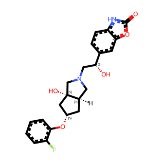 O=c1[nH]c2ccc([C@H](O)CN3C[C@H]4C[C@H](Oc5ccccc5F)C[C@@]4(O)C3)cc2o1